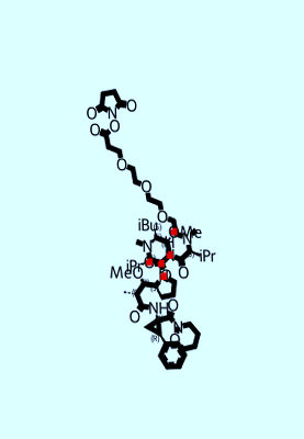 CC[C@H](C)[C@@H]([C@@H](CC(=O)N1CCC[C@H]1[C@H](OC)[C@@H](C)C(=O)N[C@@]1(C(=O)N2CCCCO2)C[C@@H]1c1ccccc1)OC)N(C)[C@H](C(=O)NC(=O)[C@H](C(C)C)N(C)CCOCCOCCOCCC(=O)ON1C(=O)CCC1=O)C(C)C